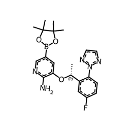 C[C@@H](Oc1cc(B2OC(C)(C)C(C)(C)O2)cnc1N)c1cc(F)ccc1-n1nccn1